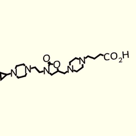 O=C(O)CCCN1CCN(CC2CN(CCN3CCN(C4CC4)CC3)C(=O)O2)CC1